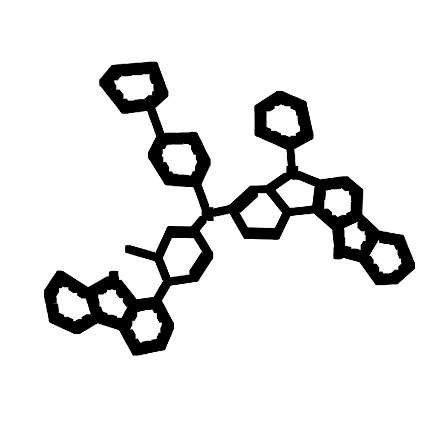 CC1C=C(N(C2=CC3C(C=C2)c2c(ccc4c2sc2ccccc24)N3c2ccccc2)c2ccc(-c3ccccc3)cc2)C=CC1c1cccc2c1sc1ccccc12